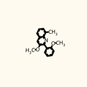 COc1ccccc1-c1nc2c(C)cccc2cc1OC